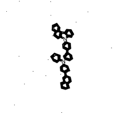 c1ccc(N(c2ccc(-c3ccc4ccccc4c3)cc2)c2cccc(-c3ccc(-n4c5ccccc5c5c6ccccc6ccc54)cc3)c2)cc1